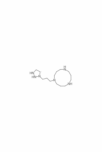 [CH]1CNNN1CCCN1CCCNCCCNCCC1